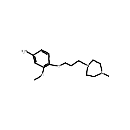 COc1cc(N)ccc1OCCCN1CCN(C)CC1